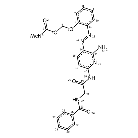 CNC(=O)OCOc1ccccc1/N=N/c1ccc(NC(=O)CNC(=O)c2ccccc2)nc1N